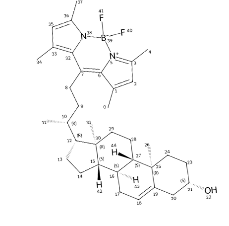 CC1=CC(C)=[N+]2C1=C(CC[C@@H](C)[C@H]1CC[C@H]3[C@@H]4CC=C5C[C@@H](O)CC[C@]5(C)[C@H]4CC[C@]13C)c1c(C)cc(C)n1[B-]2(F)F